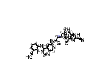 C#Cc1cccc(NC2NC=Nc3cnc(NC(=O)/C=C/C[N+](C)(C)Cc4[nH]c(C#N)nc4[N+](=O)[O-])cc32)c1